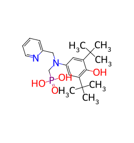 CC(C)(C)c1cc(N(Cc2ccccn2)CP(=O)(O)O)cc(C(C)(C)C)c1O